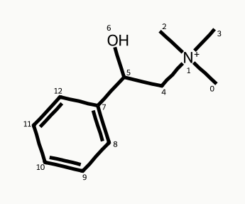 C[N+](C)(C)CC(O)c1ccccc1